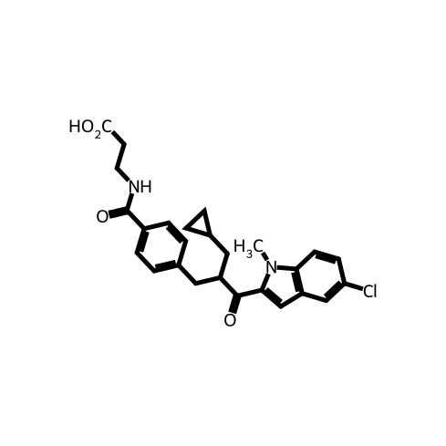 Cn1c(C(=O)C(Cc2ccc(C(=O)NCCC(=O)O)cc2)CC2CC2)cc2cc(Cl)ccc21